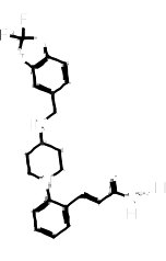 O=C(/C=C/c1ccccc1N1CCC(NCc2ccc3c(c2)OC(F)(F)O3)CC1)NO